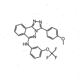 COc1ccc(-c2nnc3c4ccccc4c(Nc4cccc(OC(F)(F)F)c4)nn23)cc1